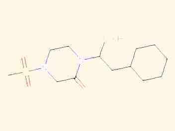 CS(=O)(=O)N1CCN(C(CC2CCCCC2)C(=O)O)C(=O)C1